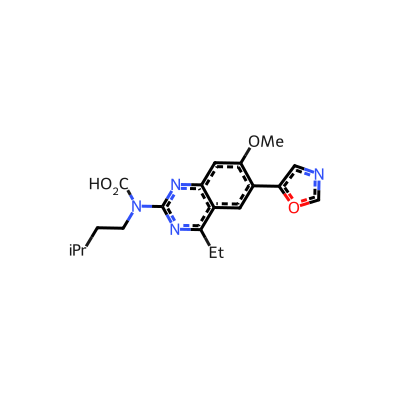 CCc1nc(N(CCC(C)C)C(=O)O)nc2cc(OC)c(-c3cnco3)cc12